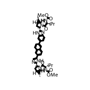 COC(=O)N[C@H](C(=O)N1[C@@H]2[C@H](C)[C@@H]2C[C@H]1c1ncc(-c2ccc3cc(-c4ccc5nc([C@@H]6C[C@H]7[C@@H](C)[C@H]7N6C(=O)[C@@H](NC(=O)OC)C(C)C)[nH]c5c4)ccc3c2)[nH]1)C(C)C